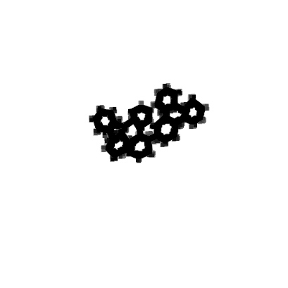 c1ccc(-c2ccccc2-n2c3ccccc3c3ccccc32)c(-c2ccc3c4ccccc4c4ccccc4c3c2)c1